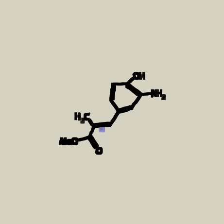 COC(=O)/C(C)=C/c1ccc(O)c(N)c1